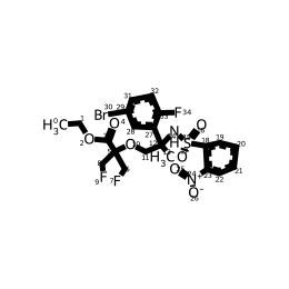 CCOC(=O)C(CF)(CF)OCC(C)(NS(=O)(=O)c1ccccc1[N+](=O)[O-])c1cc(Br)ccc1F